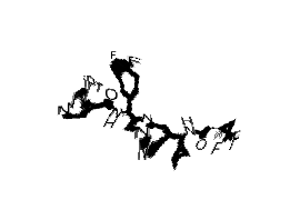 CC(C)n1nccc1C(=O)N[C@H](c1cn2ncc([C@@H](NC(=O)C[C@@H]3CC3(F)F)C3CC3)cc2n1)C1CCC(F)(F)CC1